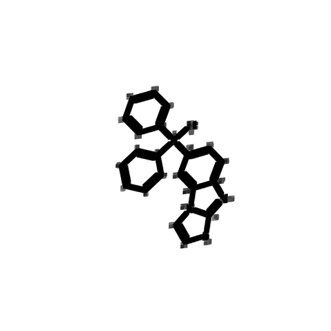 CCS(c1ccccc1)(c1ccccc1)c1ccc2nc3sccn3c2c1